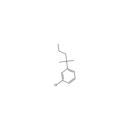 CCCC(C)(C)c1cccc(Cl)c1